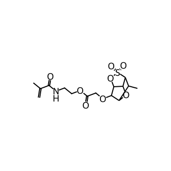 C=C(C)C(=O)NCCOC(=O)COC1C2OC3C1OS(=O)(=O)C3C2C